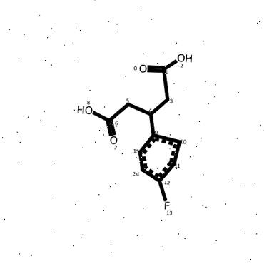 O=C(O)CC(CC(=O)O)c1ccc(F)cc1